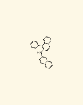 c1ccc(-c2c(Nc3ccc4ccccc4c3)ccc3ccccc23)cc1